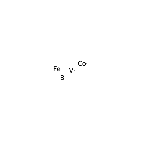 [B].[Co].[Fe].[V]